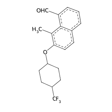 Cc1c(OC2CCC(C(F)(F)F)CC2)ccc2cccc(C=O)c12